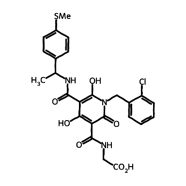 CSc1ccc(C(C)NC(=O)c2c(O)c(C(=O)NCC(=O)O)c(=O)n(Cc3ccccc3Cl)c2O)cc1